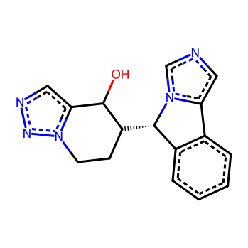 OC1c2cnnn2CCC1[C@H]1c2ccccc2-c2cncn21